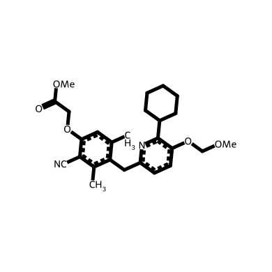 COCOc1ccc(Cc2c(C)cc(OCC(=O)OC)c(C#N)c2C)nc1C1CCCCC1